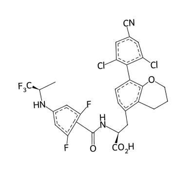 C[C@@H](Nc1cc(F)c(C(=O)N[C@@H](Cc2ccc(-c3c(Cl)cc(C#N)cc3Cl)c3c2CCCO3)C(=O)O)c(F)c1)C(F)(F)F